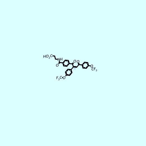 O=C(O)CCNC(=O)c1ccc(C(=O)/C(=C\C(=O)c2ccc(OC(F)(F)F)cc2)c2ccc(OC(F)(F)F)cc2)cc1